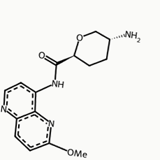 COc1ccc2nccc(NC(=O)[C@@H]3CC[C@@H](N)CO3)c2n1